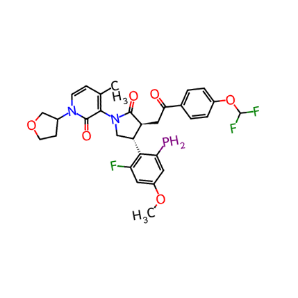 COc1cc(F)c([C@@H]2CN(c3c(C)ccn(C4CCOC4)c3=O)C(=O)[C@H]2CC(=O)c2ccc(OC(F)F)cc2)c(P)c1